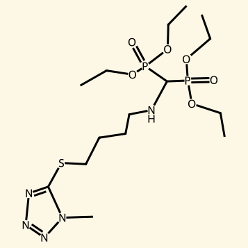 CCOP(=O)(OCC)C(NCCCCSc1nnnn1C)P(=O)(OCC)OCC